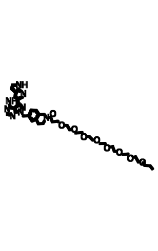 CCCOCCOCCOCCOCCOCCOCCOCCOCCC(=O)N1CCc2cc(Cn3nc(-c4cnc5[nH]ccc5c4)c4c(N)ncnc43)ccc2C1